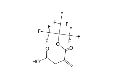 C=C(CC(=O)O)C(=O)OC(C(F)(F)F)(C(F)(F)F)C(F)(F)F